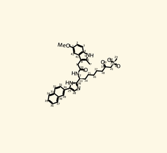 COc1ccc2[nH]c(C)c(CC(=O)N[C@@H](CCCCCC(=O)CS(C)(=O)=O)c3ncc(-c4ccc5ccccc5c4)[nH]3)c2c1